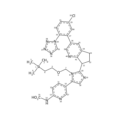 C[Si](C)(C)CCOCn1c(-c2ccc(NC(=O)O)nc2)cnc1C1CCc2cc(-c3cc(Cl)ccc3-n3cnnn3)cnc21